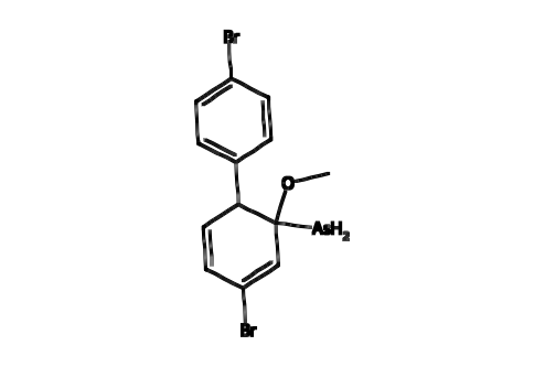 COC1([AsH2])C=C(Br)C=CC1c1ccc(Br)cc1